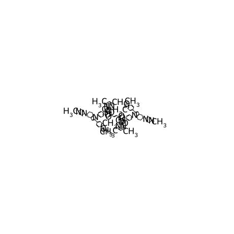 COc1ccc(-c2cc3c(n2-c2ccc(S(=O)(=O)N(OC(=O)/C=C/C(=O)ON(c4nc(C)cc(C)n4)S(=O)(=O)c4ccc(-n5c(-c6ccc(OC)c(C)c6)cc6c5CCC(N5CCN(C)CC5)C6)cc4)c4nc(C)cc(C)n4)cc2)CCC(N2CCN(C)CC2)C3)cc1C